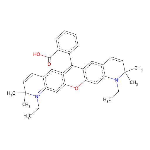 CCN1c2cc3c(cc2C=CC1(C)C)C(c1ccccc1C(=O)O)=c1cc2c(cc1O3)=[N+](CC)C(C)(C)C=C2